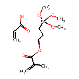 C=C(C)C(=O)OCCC[Si](OC)(OC)OC.C=CC(=O)O